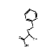 O=C(O)C(O)SCc1ccccc1